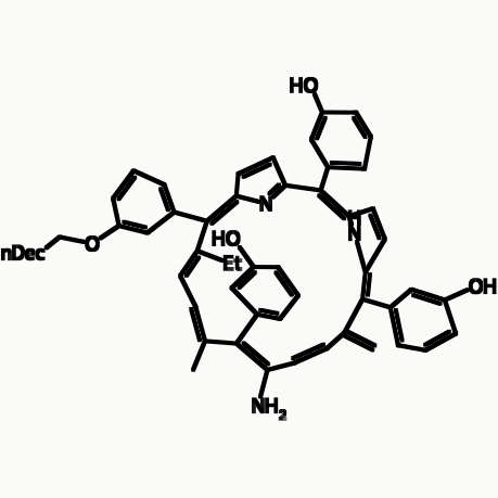 C=C1\C=C/C(N)=C(c2cccc(O)c2)/C(C)=C/C=C(CC)/C(c2cccc(OCCCCCCCCCCC)c2)=C2/C=CC(=N2)/C(c2cccc(O)c2)=c2/cc/c([nH]2)=C/1c1cccc(O)c1